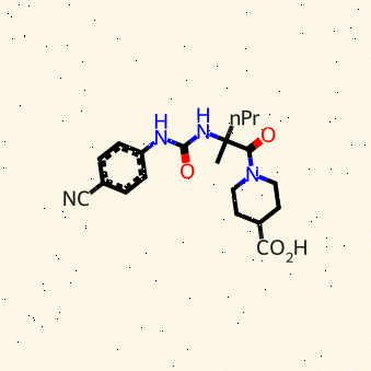 CCCC(C)(NC(=O)Nc1ccc(C#N)cc1)C(=O)N1CCC(C(=O)O)CC1